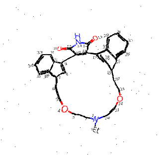 CCN1CCOCCC2C=C(C3=C(C(=O)NC3=O)C3=CC(CCOCC1)c1ccccc13)c1ccccc12